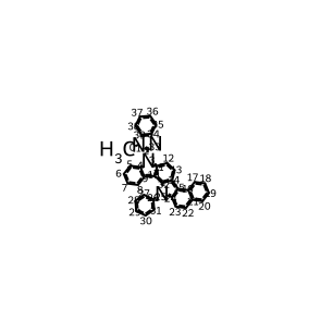 Cn1c(-n2c3ccccc3c3c2ccc2c4c5ccccc5ccc4n(-c4ccccc4)c23)nc2ccccc21